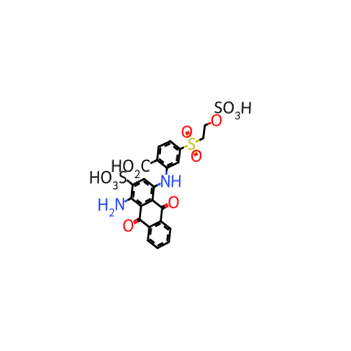 Nc1c(S(=O)(=O)O)cc(Nc2cc(S(=O)(=O)CCOS(=O)(=O)O)ccc2C(=O)O)c2c1C(=O)c1ccccc1C2=O